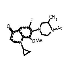 COc1c(N2CCN(C(C)=O)C(C)C2)c(F)cc2c(=O)ccn(C3CC3)c12